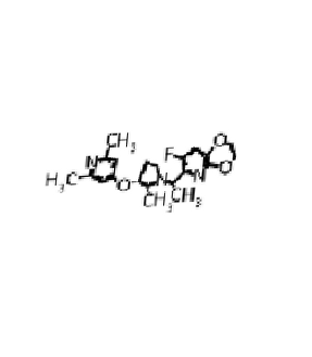 Cc1cc(O[C@@H]2CCN(C(C)c3nc4c(cc3F)OCCO4)[C@H]2C)cc(C)n1